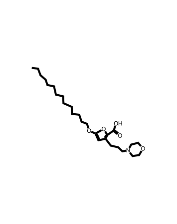 CCCCCCCCCCCCCCOc1cc(CCCN2CCOCC2)c(C(=O)O)o1